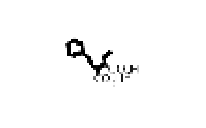 C=CC(C(=O)O)=C(C=Cc1ccccc1)C(=O)O